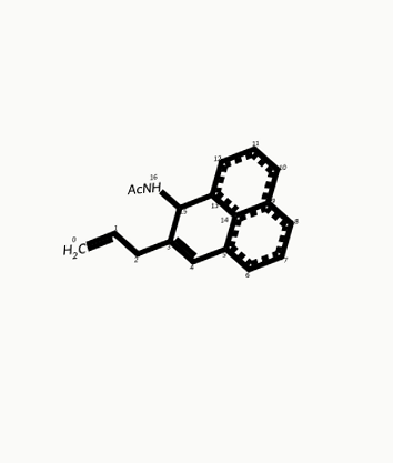 C=CCC1=Cc2cccc3cccc(c23)C1NC(C)=O